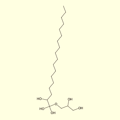 CCCCCCCCCCCCCCCCC(O)C(O)(O)OCC(O)CO